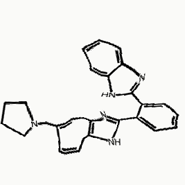 c1ccc(-c2nc3cc(N4CCCC4)ccc3[nH]2)c(-c2nc3ccccc3[nH]2)c1